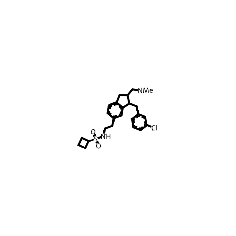 CNCC1Cc2ccc(CCNS(=O)(=O)C3CCC3)cc2C1Cc1cccc(Cl)c1